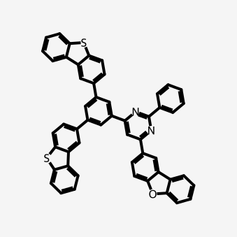 c1ccc(-c2nc(-c3cc(-c4ccc5sc6ccccc6c5c4)cc(-c4ccc5sc6ccccc6c5c4)c3)cc(-c3ccc4oc5ccccc5c4c3)n2)cc1